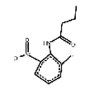 [CH2]c1cccc([N+](=O)[O-])c1NC(=O)CCC